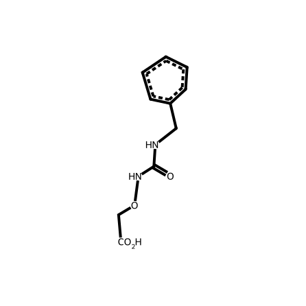 O=C(O)CONC(=O)NCc1ccccc1